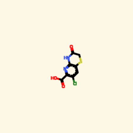 O=C1CSc2cc(Cl)c(C(=O)O)nc2N1